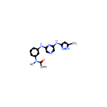 COC(=O)N(C#N)c1cccc(Nc2cncc(Nc3cc(C)[nH]n3)n2)c1